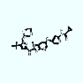 Cn1c(Nc2cc(C(C)(C)C)n(C[C@@H]3COCCO3)n2)nc2ncc(Oc3ccnc(NC(=O)C4CC4)c3)cc21